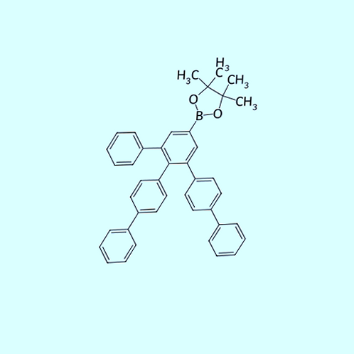 CC1(C)OB(c2cc(-c3ccccc3)c(-c3ccc(-c4ccccc4)cc3)c(-c3ccc(-c4ccccc4)cc3)c2)OC1(C)C